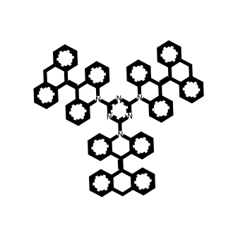 c1ccc2c(c1)Cc1ccccc1C2=C1c2ccccc2N(c2nc(N3c4ccccc4C(=C4c5ccccc5Cc5ccccc54)c4ccccc43)nc(N3c4ccccc4C(=C4c5ccccc5Cc5ccccc54)c4ccccc43)n2)c2ccccc21